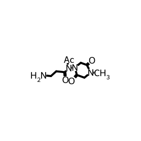 CC(=O)N(C(=O)CCN)N1CC(=O)N(C)CC1=O